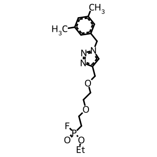 CCOP(=O)(F)CCOCCOCc1cn(Cc2cc(C)cc(C)c2)nn1